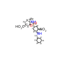 CC(C)C1(NS(=O)(=O)c2ccc(NCc3ccccc3)c([N+](=O)[O-])c2)CCC(C(=O)O)CC1